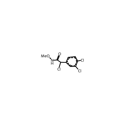 CONC(=O)C(Cl)c1ccc(Cl)c(Cl)c1